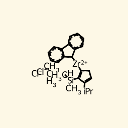 CC.CC(C)C1=CC[C]([Zr+2][CH]2c3ccccc3-c3ccccc32)=C1[SiH](C)C.[Cl-].[Cl-]